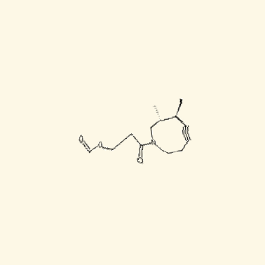 C[C@H]1C#CCCN(C(=O)CCOC=O)C[C@@H]1C